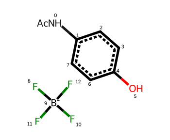 CC(=O)Nc1ccc(O)cc1.F[B-](F)(F)F